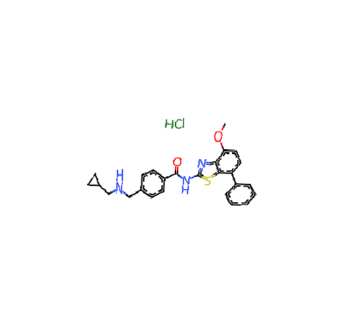 COc1ccc(-c2ccccc2)c2sc(NC(=O)c3ccc(CNCC4CC4)cc3)nc12.Cl